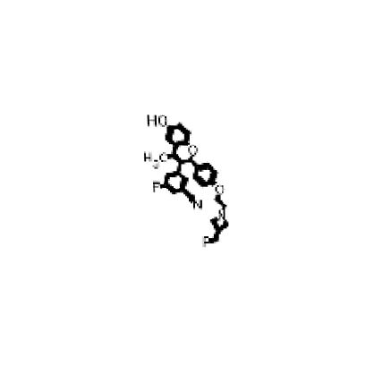 CC1=C(c2cc(F)cc(C#N)c2)C(c2ccc(OCCN3CC(CF)C3)cc2)Oc2ccc(O)cc21